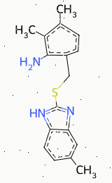 Cc1ccc2[nH]c(SCc3ccc(C)c(C)c3N)nc2c1